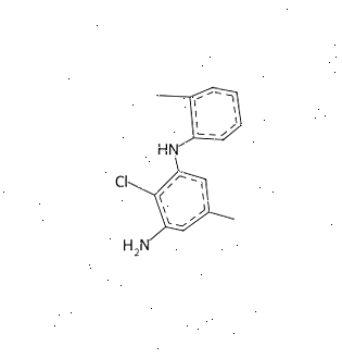 Cc1cc(N)c(Cl)c(Nc2ccccc2C)c1